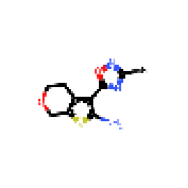 CC(C)c1noc(-c2c(N)sc3c2CCOC3)n1